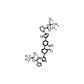 CC(C)(C)OC(=O)N1CCC[C@H]1c1ncc(-c2ccc(-c3ccc(-c4cnc([C@@H]5CCCN5C(=O)OC(C)(C)C)[nH]4)cc3C=O)c(C=O)c2)[nH]1